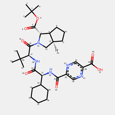 CC(C)(C)OC(=O)[C@@H]1C2CCC[C@H]2CN1C(=O)[C@@H](NC(=O)[C@@H](NC(=O)c1cnc(C(=O)O)cn1)C1CCCCC1)C(C)(C)C